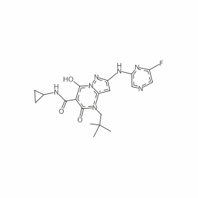 CC(C)(C)Cn1c(=O)c(C(=O)NC2CC2)c(O)n2nc(Nc3cncc(F)n3)cc12